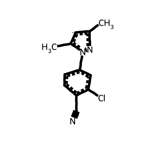 Cc1[c]c(C)n(-c2ccc(C#N)c(Cl)c2)n1